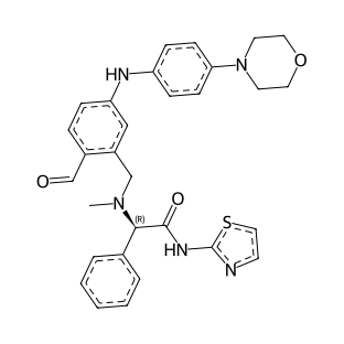 CN(Cc1cc(Nc2ccc(N3CCOCC3)cc2)ccc1C=O)[C@@H](C(=O)Nc1nccs1)c1ccccc1